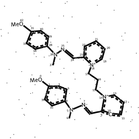 COc1ccc(N(C)/N=C/c2cccc[n+]2CCC[n+]2ccccc2/C=N/N(C)c2ccc(OC)cc2)cc1